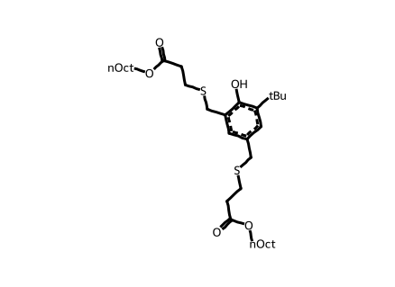 CCCCCCCCOC(=O)CCSCc1cc(CSCCC(=O)OCCCCCCCC)c(O)c(C(C)(C)C)c1